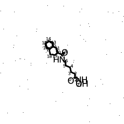 O=C(CCCCCNC(=O)C1=Cc2ccccc2CC1)NO